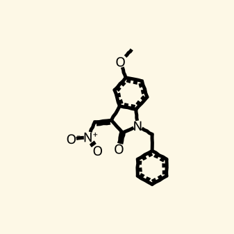 COc1ccc2c(c1)C(=C[N+](=O)[O-])C(=O)N2Cc1ccccc1